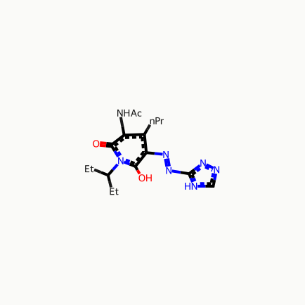 CCCc1c(N=Nc2nnc[nH]2)c(O)n(C(CC)CC)c(=O)c1NC(C)=O